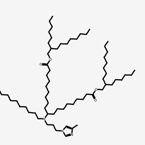 CCCCCCCCCCN(CCCn1cnc(C)c1)C(CCCCCCCCC(=O)OCC(CCCCCC)CCCCCCCC)CCCCCCCCC(=O)OCC(CCCCCC)CCCCCCCC